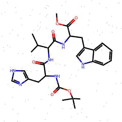 COC(=O)C(Cc1c[nH]c2ccccc12)NC(=O)C(NC(=O)C(Cc1c[nH]cn1)NC(=O)OC(C)(C)C)C(C)C